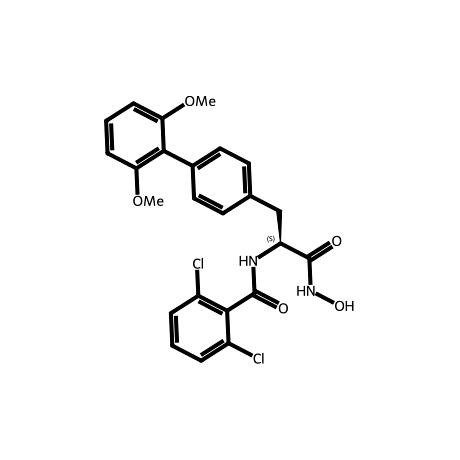 COc1cccc(OC)c1-c1ccc(C[C@H](NC(=O)c2c(Cl)cccc2Cl)C(=O)NO)cc1